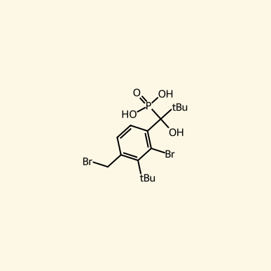 CC(C)(C)c1c(CBr)ccc(C(O)(C(C)(C)C)P(=O)(O)O)c1Br